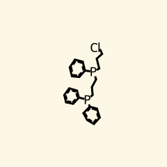 ClCCCP(CCCP(c1ccccc1)c1ccccc1)c1ccccc1